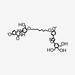 COc1ccc2c(c1)C(=O)NC(c1ccc(OCCCCCCCCCOc3cc(-c4cc(-c5cc(CO)c(CO)c(CO)c5)on4)ccc3OC)c(CO)c1)N2